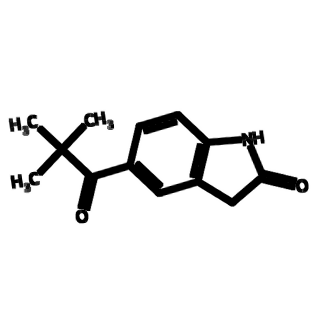 CC(C)(C)C(=O)c1ccc2c(c1)CC(=O)N2